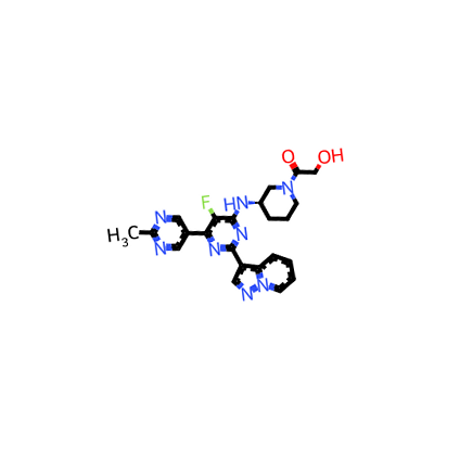 Cc1ncc(-c2nc(-c3cnn4ccccc34)nc(N[C@@H]3CCCN(C(=O)CO)C3)c2F)cn1